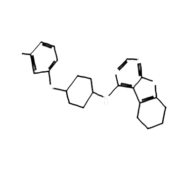 Fc1cccc(NC2CCC(Nc3ncnc4sc5c(c34)CCCC5)CC2)c1